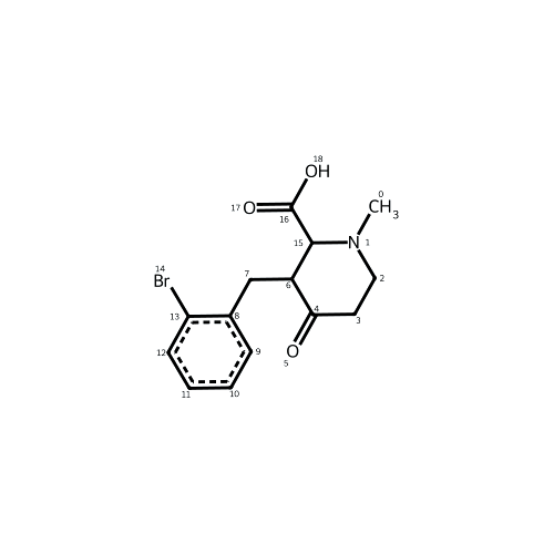 CN1CCC(=O)C(Cc2ccccc2Br)C1C(=O)O